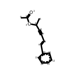 CC(=O)OC(C)C#CC=Cc1ccccc1